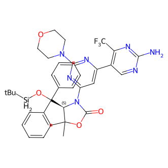 CC(C)(C)[SiH2]OC(c1ccccc1)(c1ccccc1)[C@H]1N(c2cc(-c3cnc(N)nc3C(F)(F)F)nc(N3CCOCC3)n2)C(=O)OC1(C)C